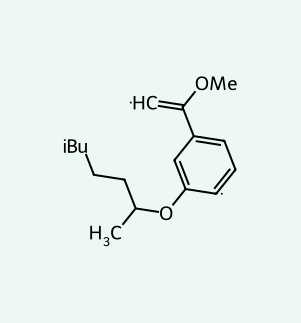 [CH]=C(OC)c1cc[c]c(OC(C)CCC(C)CC)c1